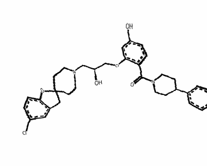 O=C(c1ccc(O)cc1OC[C@@H](O)CN1CCC2(CC1)Cc1cc(Cl)ccc1O2)N1CCC(c2ccccc2)CC1